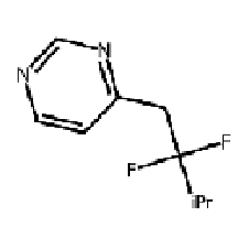 CC(C)C(F)(F)Cc1ccncn1